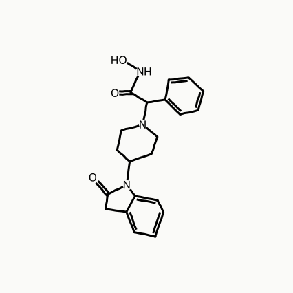 O=C(NO)C(c1ccccc1)N1CCC(N2C(=O)Cc3ccccc32)CC1